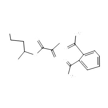 C=C(C)C(=O)OC(C)CCP.COC(=O)c1ccccc1C(=O)OC